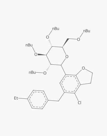 CCCCOC[C@H]1OC(c2cc(Cc3ccc(CC)cc3)c(Cl)c3c2OCC3)[C@H](OCCCC)[C@@H](OCCCC)[C@@H]1OCCCC